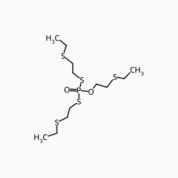 CCSCCOP(=O)(SCCSCC)SCCSCC